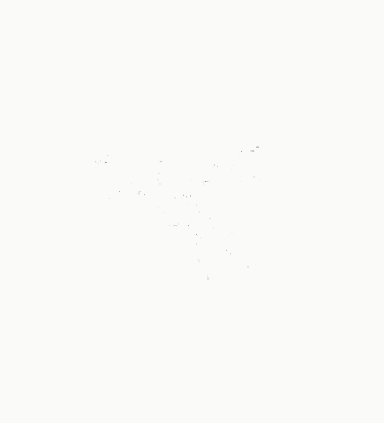 COC[C@H](C)N1Cc2c(n(CC(=O)Nc3ccc(F)cn3)c3cc(C(=O)N(C)C4CC4)nn3c2=O)C1=O